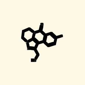 Cc1ccc2c(c1)c(=O)n1c3c2c(CO)nn3CCC1